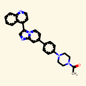 CC(=O)N1CCN(c2ccc(-c3ccn4c(-c5ccnc6ccccc56)cnc4c3)cc2)CC1